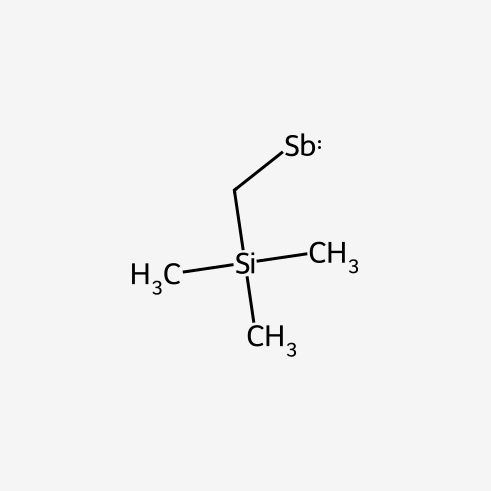 C[Si](C)(C)[CH2][Sb]